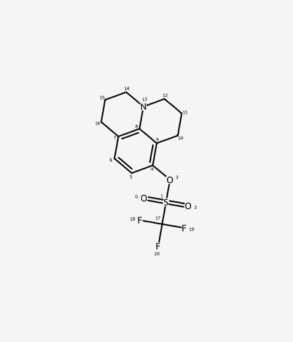 O=S(=O)(Oc1ccc2c3c1CCCN3CCC2)C(F)(F)F